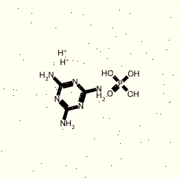 Nc1nc(N)nc(N)n1.O=P(O)(O)O.[H+].[H+]